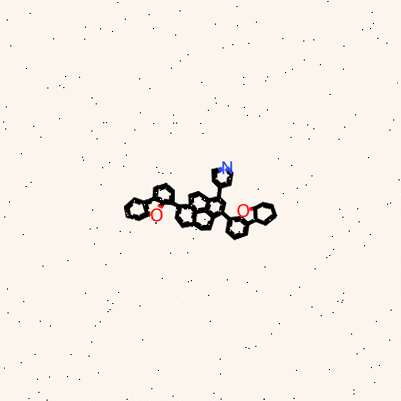 C1=CC2Oc3c(-c4cc(-c5ccncc5)c5ccc6c(-c7cccc8c7oc7ccccc78)ccc7ccc4c5c76)cccc3C2C=C1